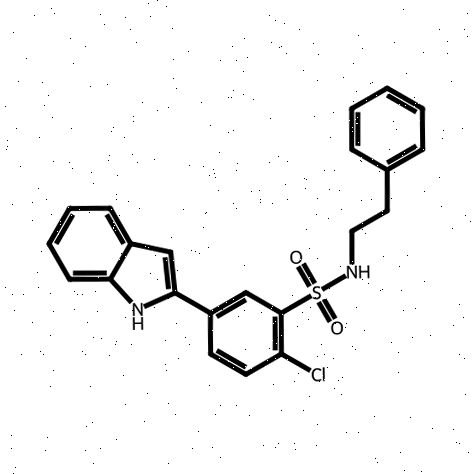 O=S(=O)(NCCc1ccccc1)c1cc(-c2cc3ccccc3[nH]2)ccc1Cl